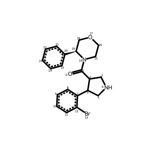 O=C(C1CNCC1c1ccccc1Br)N1CCOC[C@@H]1c1ccccc1